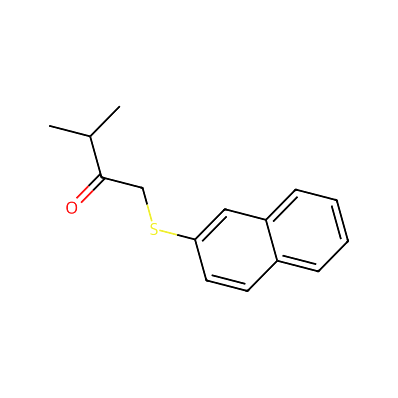 CC(C)C(=O)CSc1ccc2ccccc2c1